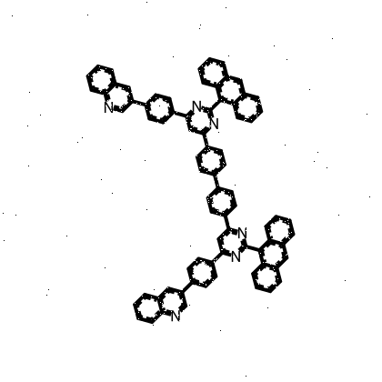 c1ccc2ncc(-c3ccc(-c4cc(-c5ccc(-c6ccc(-c7cc(-c8ccc(-c9cnc%10ccccc%10c9)cc8)nc(-c8c9ccccc9cc9ccccc89)n7)cc6)cc5)nc(-c5c6ccccc6cc6ccccc56)n4)cc3)cc2c1